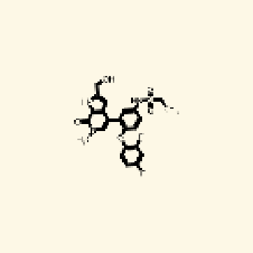 CCS(=O)(=O)Nc1ccc(Oc2ccc(F)cc2F)c(-c2cn(C)c(=O)c3[nH]c(CO)cc23)c1